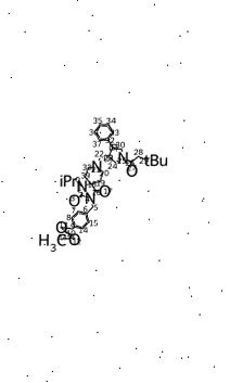 CC(C)N1C(=O)N(Cc2ccc(S(C)(=O)=O)cc2)C(=O)C12CCN(C[C@H]1CN(C(=O)CC(C)(C)C)C[C@@H]1c1ccccc1)CC2